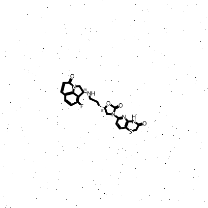 O=C1CSc2ccc(N3C[C@H](CCCN[C@H]4Cn5c(=O)ccc6ccc(F)c4c65)OC3=O)nc2N1